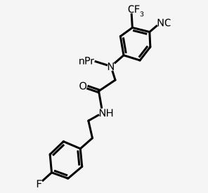 [C-]#[N+]c1ccc(N(CCC)CC(=O)NCCc2ccc(F)cc2)cc1C(F)(F)F